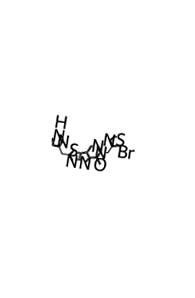 Cn1c2nc(Cc3cc[nH]n3)sc2c2cnn(Cc3ncsc3Br)c(=O)c21